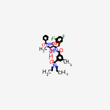 CCCN(CCC)C(=O)c1cc(C)cc(C(=O)N[C@H](Cc2cc(F)cc(F)c2)[C@@H](O)[C@H](O)[C@H](C)NC(=O)c2ccccc2)c1